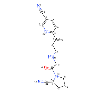 N#Cc1ccc([AsH]CCNCC(=O)N2CCC[C@H]2C#N)nc1